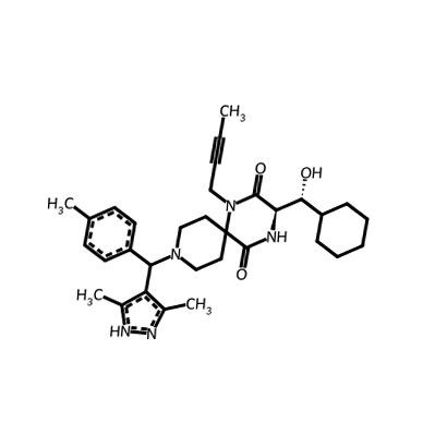 CC#CCN1C(=O)[C@@H]([C@H](O)C2CCCCC2)NC(=O)C12CCN(C(c1ccc(C)cc1)c1c(C)n[nH]c1C)CC2